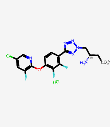 Cl.N[C@@H](CC(=O)O)Cn1nnc(-c2ccc(Oc3ncc(Cl)cc3F)c(F)c2F)n1